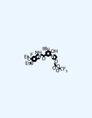 CCOc1cc2c(c(F)c1OCC)C(=N)N(CC(=O)c1cc(N3CCC(OCC(=O)OC(=O)C(F)(F)F)C3)c(O)c(C(C)(C)C)c1)C2